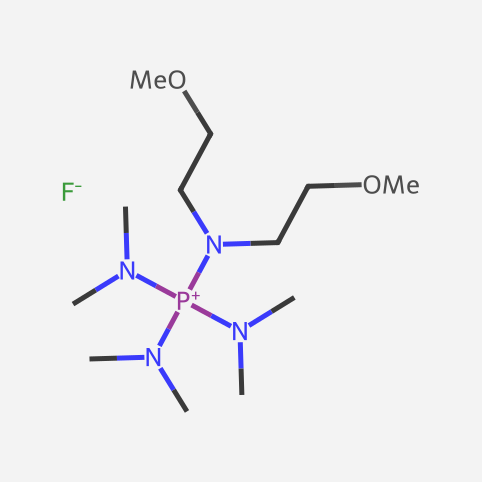 COCCN(CCOC)[P+](N(C)C)(N(C)C)N(C)C.[F-]